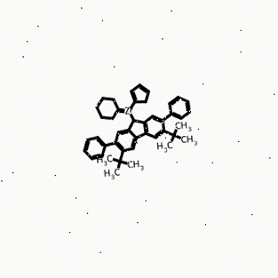 CC(C)(C)c1cc2c(cc1-c1ccccc1)[CH]([Zr]([C]1=CC=CC1)=[C]1CCCCC1)c1cc(-c3ccccc3)c(C(C)(C)C)cc1-2